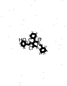 O=C(O)c1ccccc1-c1c(/C=C/c2ccccc2)c(Cl)cn(Cc2ccccc2)c1=O